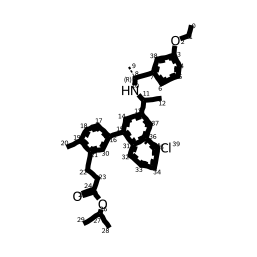 CCOc1cccc([C@@H](C)NC(C)c2cc(-c3ccc(C)c(CCC(=O)OC(C)C)c3)c3ccccc3c2)c1.Cl